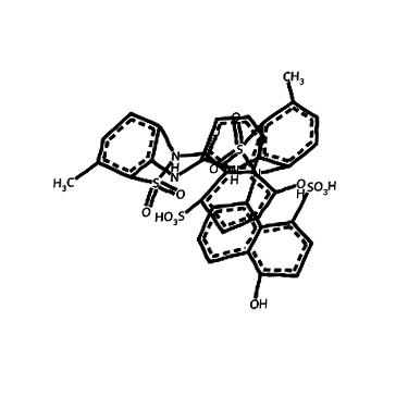 Cc1ccc2c(NC(=O)Nc3c4ccc(C)c3S(=O)(=O)N4c3cccc4c(O)ccc(S(=O)(=O)O)c34)c1S(=O)(=O)N2c1cccc2c(O)ccc(S(=O)(=O)O)c12